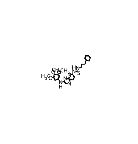 COc1cc(Nc2cnc3ccc(NC(=S)NCCCc4ccccc4)nc3n2)cc(OC)c1OC